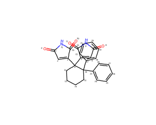 O=C1C=C(C2(C3=CC(=O)NC3=O)CCCCC2(c2ccccc2)c2ccccc2)C(=O)N1